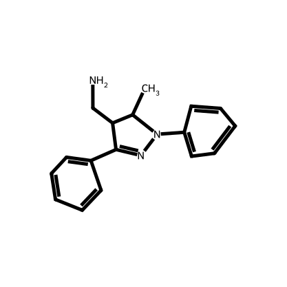 CC1C(CN)C(c2ccccc2)=NN1c1ccccc1